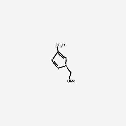 CCOC(=O)c1nnn(COC)n1